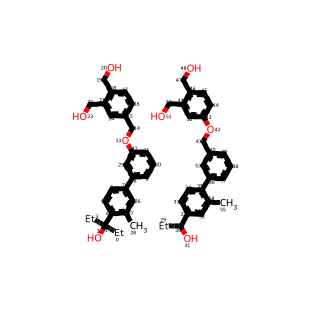 CCC(O)(CC)c1ccc(-c2cccc(OCc3ccc(CO)c(CO)c3)c2)cc1C.CCC(O)c1ccc(-c2cccc(COc3ccc(CO)c(CO)c3)c2)c(C)c1